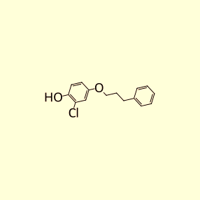 Oc1ccc(OCCCc2ccccc2)cc1Cl